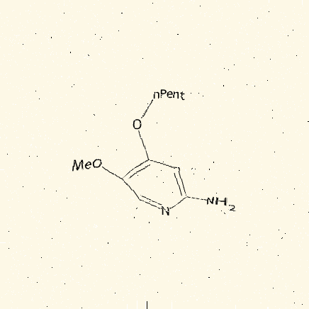 CCCCCOc1cc(N)ncc1OC